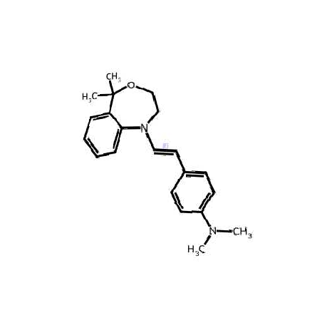 CN(C)c1ccc(/C=C/N2CCOC(C)(C)c3ccccc32)cc1